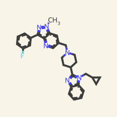 Cn1nc(-c2cccc(F)c2)c2ncc(CN3CCC(c4nc5ccccc5n4CC4CC4)CC3)cc21